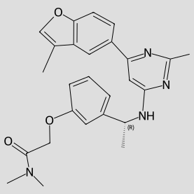 Cc1nc(N[C@H](C)c2cccc(OCC(=O)N(C)C)c2)cc(-c2ccc3occ(C)c3c2)n1